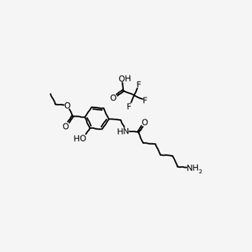 CCOC(=O)c1ccc(CNC(=O)CCCCCN)cc1O.O=C(O)C(F)(F)F